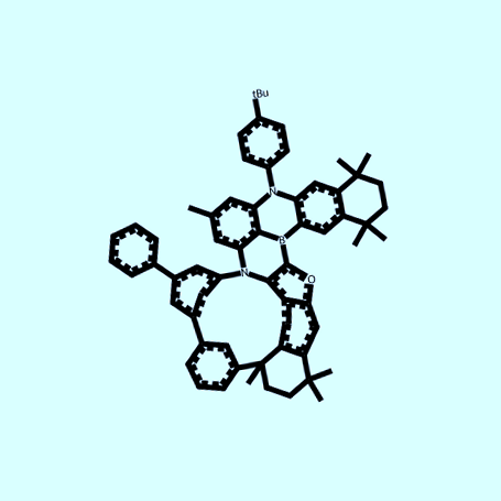 Cc1cc2c3c(c1)N1c4cc(-c5ccccc5)cc(c4)-c4cccc(c4)C4(C)CCC(C)(C)c5cc6oc(c1c6cc54)B3c1cc3c(cc1N2c1ccc(C(C)(C)C)cc1)C(C)(C)CCC3(C)C